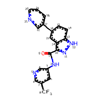 O=C(Nc1cncc(C(F)(F)F)c1)c1n[nH]c2ccc(-c3cccnc3)cc12